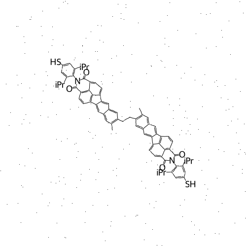 Cc1cc2cc3c(cc2cc1CCc1cc2cc4c(cc2cc1C)-c1ccc2c5c(ccc-4c15)C(=O)N(c1c(C(C)C)cc(S)cc1C(C)C)C2=O)-c1ccc2c4c(ccc-3c14)C(=O)N(c1c(C(C)C)cc(S)cc1C(C)C)C2=O